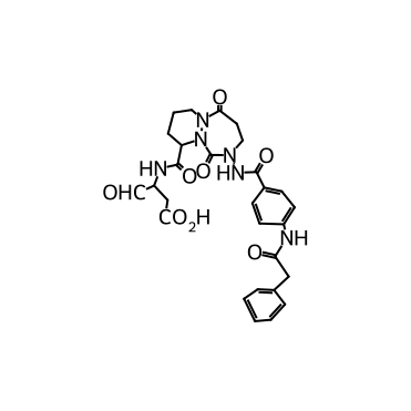 O=CC(CC(=O)O)NC(=O)C1CCCN2C(=O)CCN(NC(=O)c3ccc(NC(=O)Cc4ccccc4)cc3)C(=O)N12